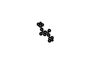 CC1(C)c2cccc3cc(-c4ccc(N(c5ccccc5)c5ccc(N(c6ccccc6)c6ccc(-c7cc8cccc9c8c8c(cccc78)C9(C)C)cc6)c6ccccc56)cc4)c4cccc1c4c23